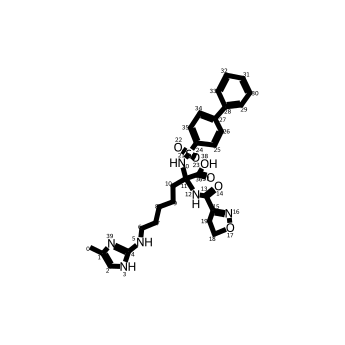 Cc1c[nH]c(NCCCCCC(NC(=O)C2=NOCC2)(NS(=O)(=O)c2ccc(-c3ccccc3)cc2)C(=O)O)n1